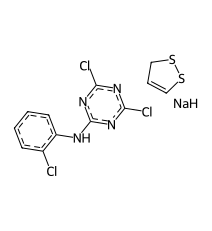 C1=CSSC1.Clc1nc(Cl)nc(Nc2ccccc2Cl)n1.[NaH]